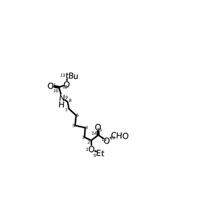 CCOC(CCCCCCNC(=O)OC(C)(C)C)C(=O)OC=O